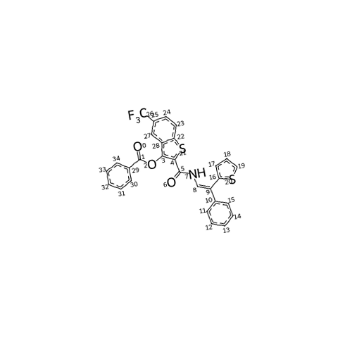 O=C(Oc1c(C(=O)NC=C(c2ccccc2)c2cccs2)sc2ccc(C(F)(F)F)cc12)c1ccccc1